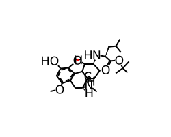 COc1cc(O)c2c3c1C[C@@H]1[C@@H]4CC[C@H](N[C@@H](CC(C)C)C(=O)OC(C)(C)C)[C@H](O2)[C@]34CCN1C